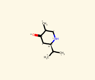 CC1CN[C@@H](C(C)C)CC1=O